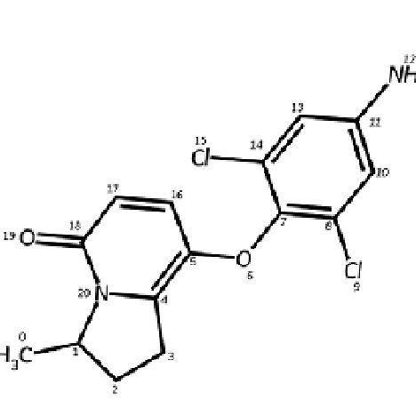 CC1CCc2c(Oc3c(Cl)cc(N)cc3Cl)ccc(=O)n21